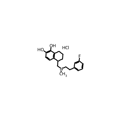 CN(CCc1cccc(F)c1)CC1CCCc2c1ccc(O)c2O.Cl